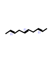 [CH2]/C=C/C/C=C/C/C=C/C